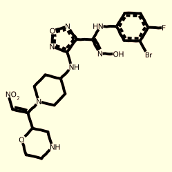 O=[N+]([O-])C=C(C1CNCCO1)N1CCC(Nc2nonc2C(=NO)Nc2ccc(F)c(Br)c2)CC1